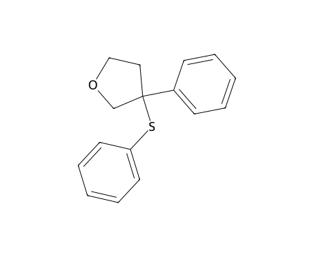 c1ccc(SC2(c3ccccc3)CCOC2)cc1